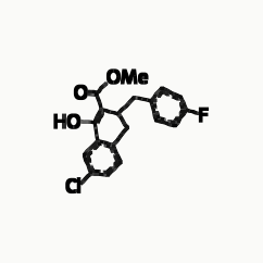 COC(=O)C1=C(O)c2cc(Cl)ccc2CC1Cc1ccc(F)cc1